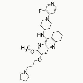 COc1nc2c(NC3CCN(c4ccncc4F)CC3)c3c(nc2cc1OCCCN1CCCC1)CCCC3